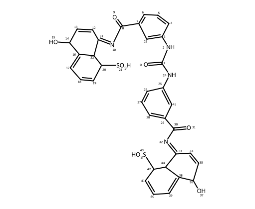 O=C(Nc1cccc(C(=O)N=C2C=CC(O)C3=CC=CC(S(=O)(=O)O)C32)c1)Nc1cccc(C(=O)N=C2C=CC(O)C3=CC=CC(S(=O)(=O)O)C32)c1